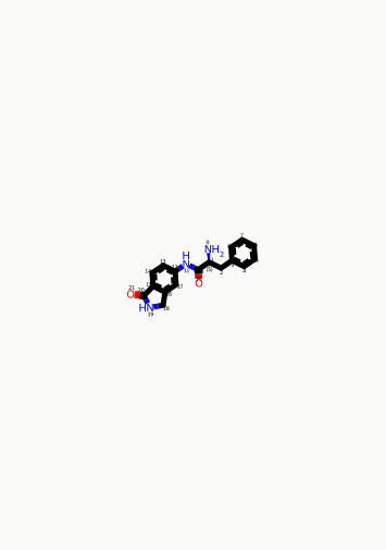 N[C@@H](Cc1ccccc1)C(=O)Nc1ccc2c(c1)CNC2=O